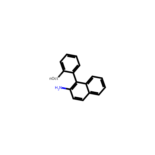 CCCCCCCCc1ccccc1-c1c(N)ccc2ccccc12